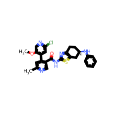 COc1cnc(Cl)cc1-c1cc(C)ncc1C(=O)Nc1nc2c(s1)C[C@H](Nc1ccccc1)CC2